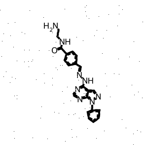 NCCNC(=O)c1ccc(/C=N/Nc2ncnc3c2cnn3-c2ccccc2)cc1